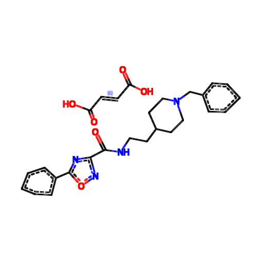 O=C(NCCC1CCN(Cc2ccccc2)CC1)c1noc(-c2ccccc2)n1.O=C(O)/C=C/C(=O)O